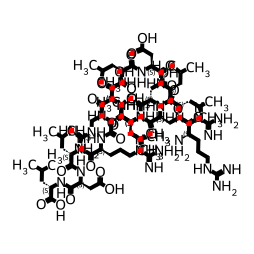 CC(C)C[C@H](NC(=O)[C@H](CC(=O)O)NC(=O)[C@H](CC(C)C)NC(=O)[C@H](CCCNC(=N)N)NC(=O)[C@H](CC(C)C)NC(=O)[C@H](CC(=O)O)NC(=O)[C@H](CC(C)C)NC(=O)[C@H](CCCNC(=N)N)NC(=O)[C@H](CC(C)C)NC(=O)[C@H](CC(=O)O)NC(=O)[C@H](CC(C)C)NC(=O)[C@H](CCCNC(=N)N)NC(=O)[C@H](CC(C)C)NC(=O)[C@H](CC(=O)O)NC(=O)[C@H](CC(C)C)NC(=O)[C@@H](N)CCCNC(=N)N)C(=O)O